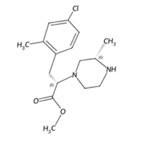 COC(=O)[C@H](Cc1ccc(Cl)cc1C)N1CCN[C@@H](C)C1